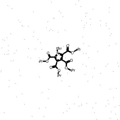 CC(C)OC(=O)c1c(C(=O)OC(C)C)c(C(=O)OC(C)C)n(C(C)(C)C)c1C(=O)OC(C)C